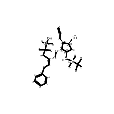 C=CC[C@@H]1[C@@H](CC[C@H](CCc2ccccc2)CC(C)(C)[Si](C)(C)O)[C@H](O[Si](C)(C)C(C)(C)C)C[C@@H]1O